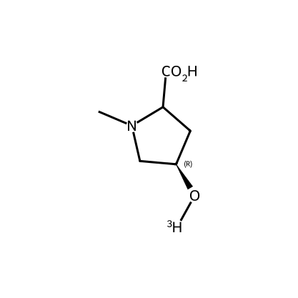 [3H]O[C@@H]1CC(C(=O)O)N(C)C1